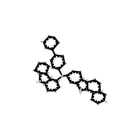 c1ccc(-c2ccc(N(c3ccc4c(c3)oc3c5ccccc5ccc43)c3cccc4sc5ccccc5c34)cc2)cc1